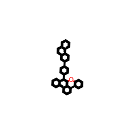 c1ccc2c(c1)Oc1c(-c3ccc(-c4ccc5c(ccc6ccccc65)c4)cc3)c3ccccc3c3cccc-2c13